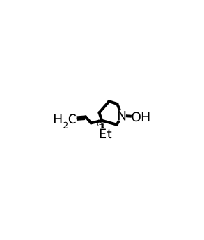 C=CC[C@]1(CC)CCCN(O)C1